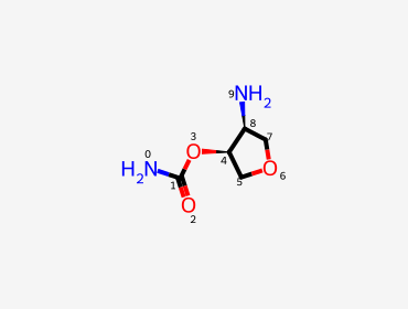 NC(=O)O[C@@H]1COC[C@@H]1N